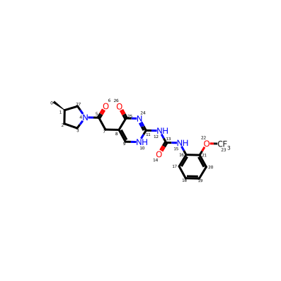 C[C@@H]1CCN(C(=O)Cc2c[nH]c(NC(=O)Nc3ccccc3OC(F)(F)F)nc2=O)C1